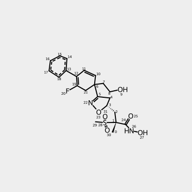 C[C@@](C[C@H]1CC(C2(CCO)C=CC(c3ccccc3)=C(F)C2)=NO1)(C(=O)NO)S(C)(=O)=O